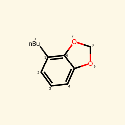 [CH2]CCCc1cccc2c1OCO2